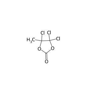 CC1(Cl)OC(=O)OC1(Cl)Cl